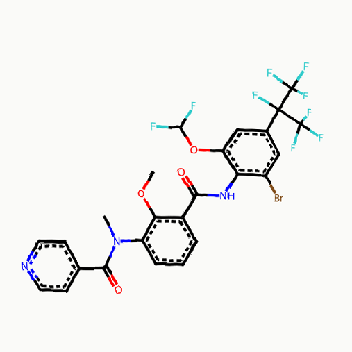 COc1c(C(=O)Nc2c(Br)cc(C(F)(C(F)(F)F)C(F)(F)F)cc2OC(F)F)cccc1N(C)C(=O)c1ccncc1